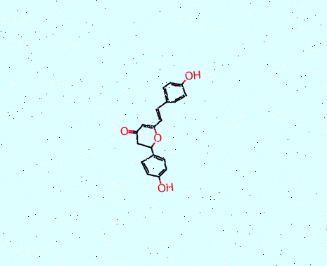 O=C1C=C(/C=C/c2ccc(O)cc2)OC(c2ccc(O)cc2)C1